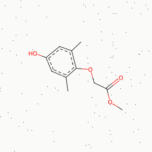 COC(=O)COc1c(C)cc(O)cc1C